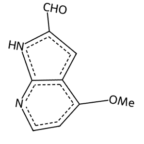 COc1ccnc2[nH]c(C=O)cc12